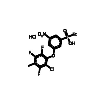 CCP(=O)(O)c1cc(Oc2c(F)c(F)c(C)c(F)c2Cl)cc([N+](=O)[O-])c1.Cl